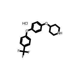 Cl.FC(F)(F)c1ccc(Oc2ccc(OC3CCNCC3)cc2)cc1